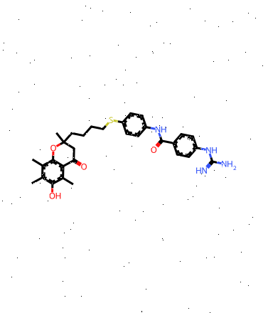 Cc1c(C)c2c(c(C)c1O)C(=O)CC(C)(CCCCSc1ccc(NC(=O)c3ccc(NC(=N)N)cc3)cc1)O2